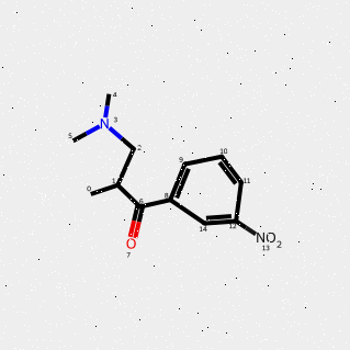 CC(CN(C)C)C(=O)c1cccc([N+](=O)[O-])c1